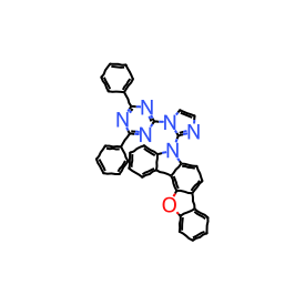 c1ccc(-c2nc(-c3ccccc3)nc(-n3ccnc3-n3c4ccccc4c4c5oc6ccccc6c5ccc43)n2)cc1